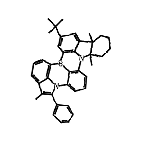 Cc1c(-c2ccccc2)n2c3c(cccc13)B1c3cc(C(C)(C)C)cc4c3N(c3cccc-2c31)C1(C)CCCCC41C